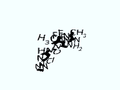 Cc1nn2c3c(cnc2c1N)N(C(=O)Nc1cnc(-n2nccn2)c(Cl)c1)C[C@@]3(C)C(F)(F)F